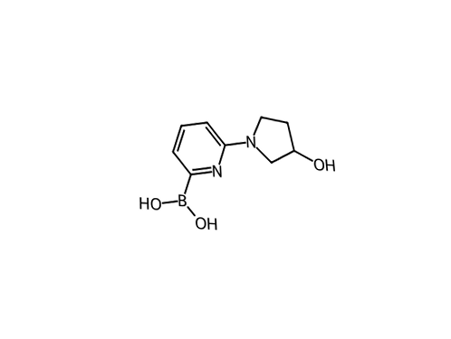 OB(O)c1cccc(N2CCC(O)C2)n1